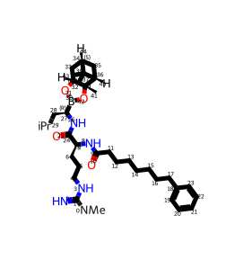 CNC(=N)NCCC[C@H](NC(=O)CCCCCCCc1ccccc1)C(=O)N[C@@H](CC(C)C)B1O[C@@H]2C[C@@H]3C[C@@H](C3(C)C)[C@]2(C)O1